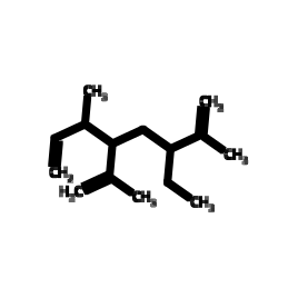 C=CC(C)C(CC(CC)C(=C)C)C(=C)C